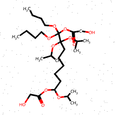 CCCCOC(OCCCC)(OC(=O)CO)C(CCCCCC(OC(=O)CO)OC(C)C)(OC(C)C)OC(C)C